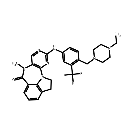 CCN1CCN(Cc2ccc(Nc3ncc4c(n3)N3CCc5cccc(c53)C(=O)N4C)cc2C(F)(F)F)CC1